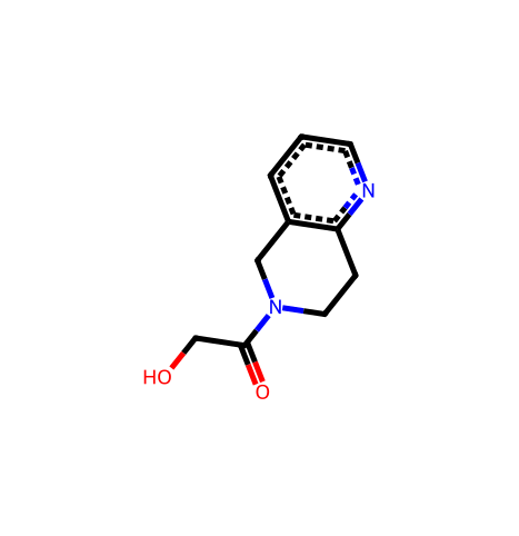 O=C(CO)N1CCc2ncccc2C1